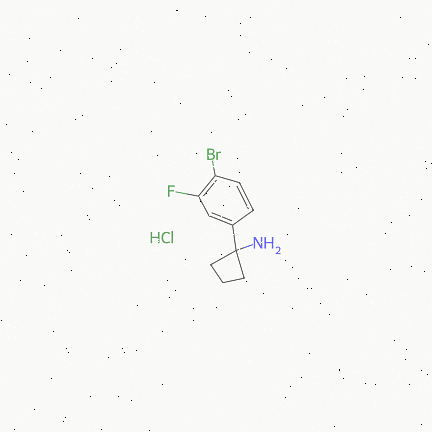 Cl.NC1(c2ccc(Br)c(F)c2)CCC1